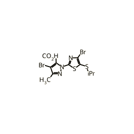 Cc1nn(-c2nc(Br)c(SC(C)C)s2)c(C(=O)O)c1Br